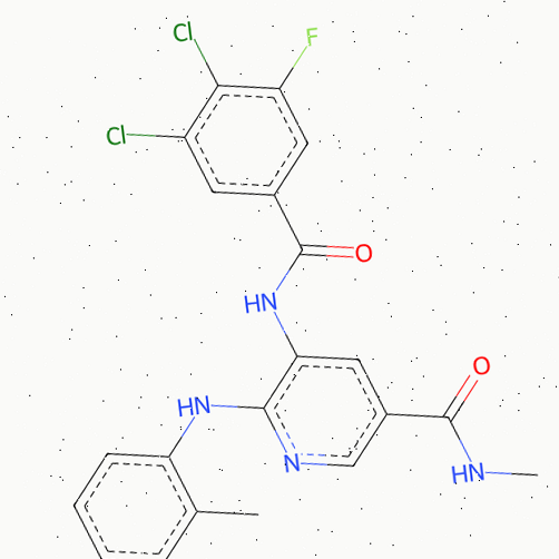 CNC(=O)c1cnc(Nc2ccccc2C)c(NC(=O)c2cc(F)c(Cl)c(Cl)c2)c1